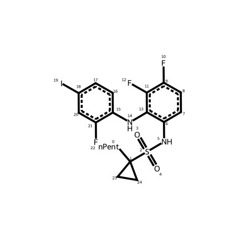 CCCCCC1(S(=O)(=O)Nc2ccc(F)c(F)c2Nc2ccc(I)cc2F)CC1